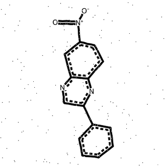 O=[N+]([O-])c1ccc2nc(-c3ccccc3)cnc2c1